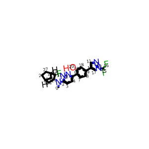 CN(c1ccc(-c2ccc(-c3cnn(C(F)F)c3)cc2O)nn1)[C@@H]1C[C@H]2CC[C@H](C2)[C@@H]1F